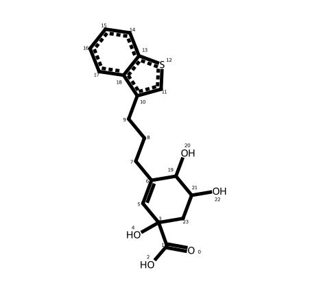 O=C(O)C1(O)C=C(CCCc2csc3ccccc23)C(O)C(O)C1